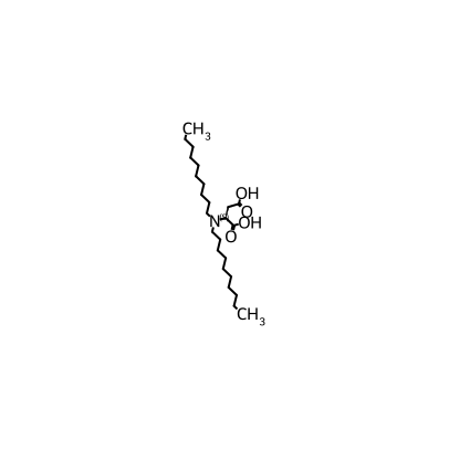 CCCCCCCCCCN(CCCCCCCCCC)[C@@H](CC(=O)O)C(=O)O